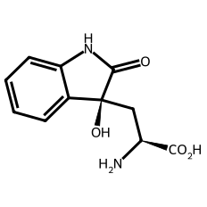 N[C@@H](C[C@@]1(O)C(=O)Nc2ccccc21)C(=O)O